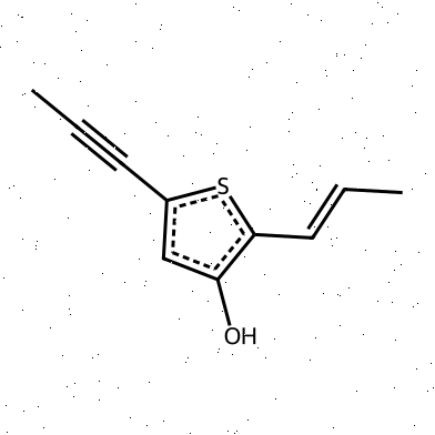 CC#Cc1cc(O)c(C=CC)s1